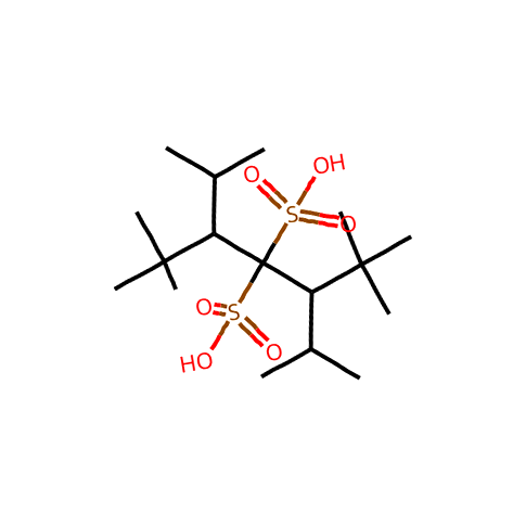 CC(C)C(C(C)(C)C)C(C(C(C)C)C(C)(C)C)(S(=O)(=O)O)S(=O)(=O)O